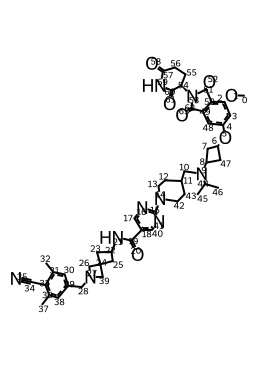 COc1cc(OC2CC(N(CC3CCN(c4ncc(C(=O)NC5CC6(C5)CN(Cc5cc(C)c(C#N)c(C)c5)C6)cn4)CC3)C(C)C)C2)cc2c1C(=O)N([C@@H]1CCC(=O)NC1=O)C2=O